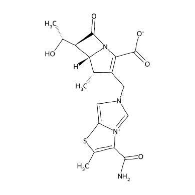 Cc1sc2cn(CC3=C(C(=O)[O-])N4C(=O)[C@H]([C@@H](C)O)[C@H]4[C@H]3C)c[n+]2c1C(N)=O